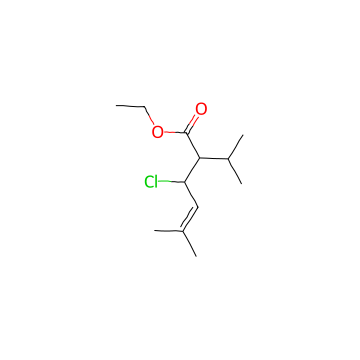 CCOC(=O)C(C(C)C)C(Cl)C=C(C)C